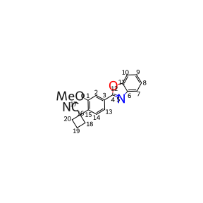 COc1cc(-c2nc3ccccc3o2)ccc1C1(C#N)CCC1